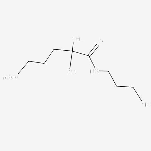 CCCCCCCCCCCCC(C)(C)C(=O)NCCCN=O